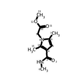 CNC(=O)c1cc(C)n(CC(=O)OC)c1C